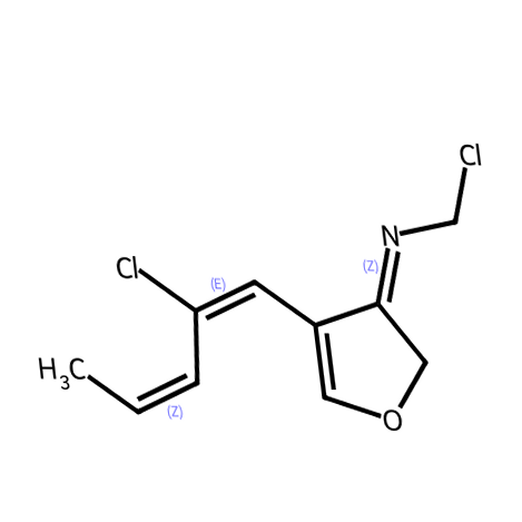 C/C=C\C(Cl)=C/C1=COC/C1=N\CCl